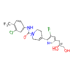 O=C(Nc1ccc(C(F)(F)F)c(Cl)c1)N1CC=C(c2ncc(C[C@H](O)CO)cc2F)CC1